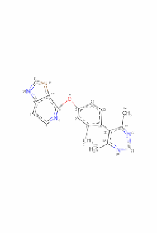 Cc1cc(Oc2nccc3ncsc23)ccc1-c1c(C)ncnc1C